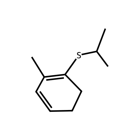 CC1=C(SC(C)C)CCC=C1